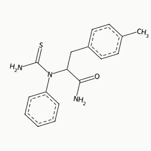 Cc1ccc(CC(C(N)=O)N(C(N)=S)c2ccccc2)cc1